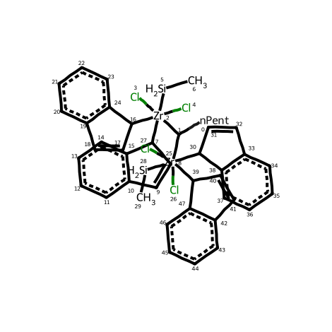 CCCCC[CH]([Zr]([Cl])([Cl])([SiH2]C)([CH]1C=Cc2ccccc21)[CH]1C=Cc2ccccc21)[Zr]([Cl])([Cl])([SiH2]C)([CH]1C=Cc2ccccc21)[CH]1C=Cc2ccccc21